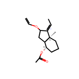 C=COC1CC2[C@@H](OC(C)=O)CCC[C@]2(C)/C1=C/C